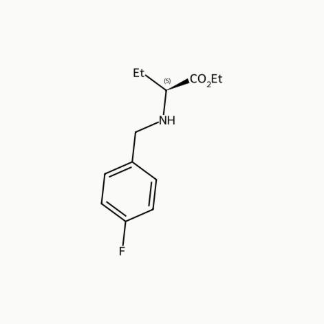 CCOC(=O)[C@H](CC)NCc1ccc(F)cc1